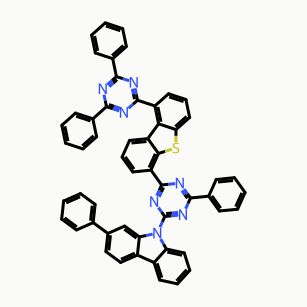 c1ccc(-c2ccc3c4ccccc4n(-c4nc(-c5ccccc5)nc(-c5cccc6c5sc5cccc(-c7nc(-c8ccccc8)nc(-c8ccccc8)n7)c56)n4)c3c2)cc1